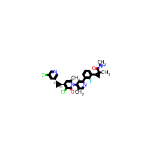 CNC(=O)C1(C)CC1c1cccc(-c2cc(-n3c(C)cc([C@H]4C[C@@H]4c4cncc(Cl)c4)c(Cl)c3=O)c(C)cn2)c1F